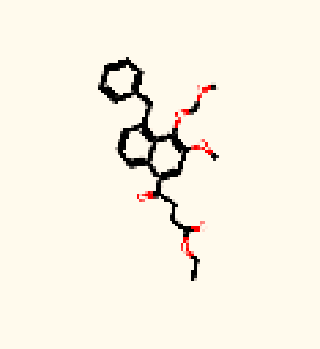 CCOC(=O)CCC(=O)c1cc(OC)c(OCOC)c2c(Cc3ccccc3)cccc12